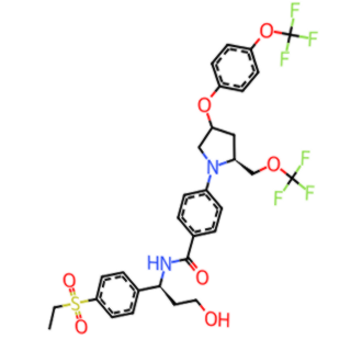 CCS(=O)(=O)c1ccc([C@H](CCO)NC(=O)c2ccc(N3CC(Oc4ccc(OC(F)(F)F)cc4)C[C@H]3COC(F)(F)F)cc2)cc1